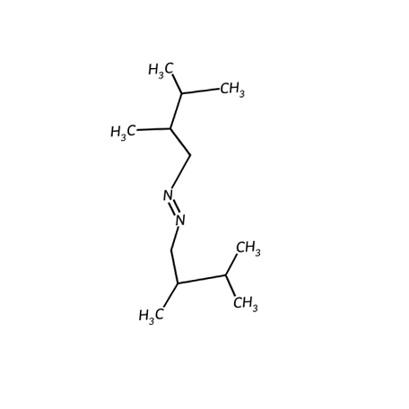 CC(C)C(C)CN=NCC(C)C(C)C